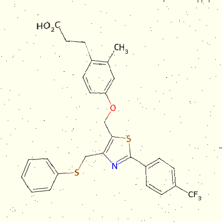 Cc1cc(OCc2sc(-c3ccc(C(F)(F)F)cc3)nc2CSc2ccccc2)ccc1CCC(=O)O